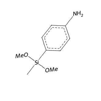 CO[Si](C)(OC)c1ccc(N)cc1